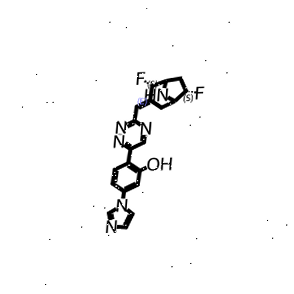 Oc1cc(-n2ccnc2)ccc1-c1cnc(/C=C2\CC3NC(C[C@@H]3F)[C@H]2F)nn1